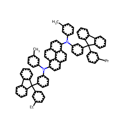 CCc1cccc(C2(c3cccc(N(c4cccc(C)c4)c4ccc5ccc6c(N(c7cccc(C)c7)c7cccc(C8(c9cccc(C(C)C)c9)c9ccccc9-c9ccccc98)c7)ccc7ccc4c5c76)c3)c3ccccc3-c3ccccc32)c1